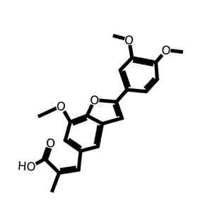 COc1ccc(-c2cc3cc(C=C(C)C(=O)O)cc(OC)c3o2)cc1OC